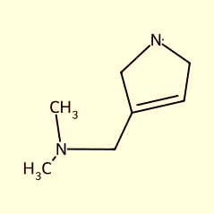 CN(C)CC1=CC[N]C1